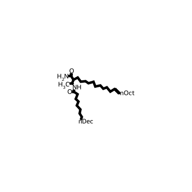 CCCCCCCCC=CCCCCCCCCCCC(C(N)=O)C(C)NC(=O)CCCCCCCCCCCCCCCCC